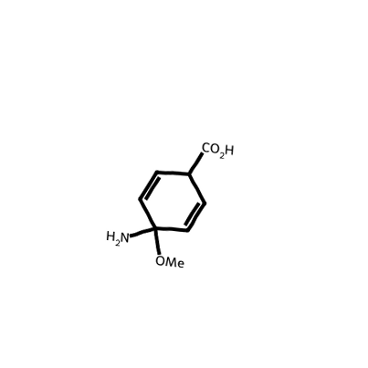 COC1(N)C=CC(C(=O)O)C=C1